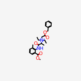 CC[N+](CC)(CC(=O)OCc1ccccc1)C(C)C(=O)Nc1c(C)cccc1C(=O)OC